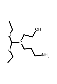 CCOC(OCC)P(CCO)CCCN